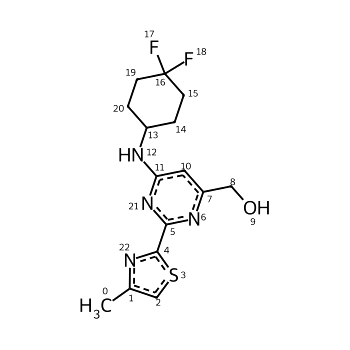 Cc1csc(-c2nc(CO)cc(NC3CCC(F)(F)CC3)n2)n1